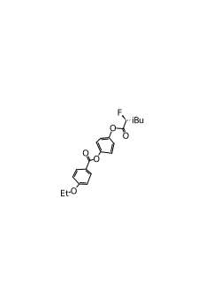 CCOc1ccc(C(=O)Oc2ccc(OC(=O)[C@@H](F)[C@@H](C)CC)cc2)cc1